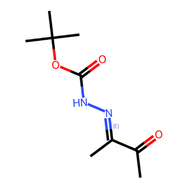 CC(=O)/C(C)=N/NC(=O)OC(C)(C)C